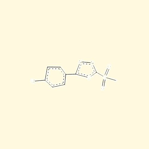 CS(=O)(=O)c1nnc(-c2ccc(Cl)cc2)s1